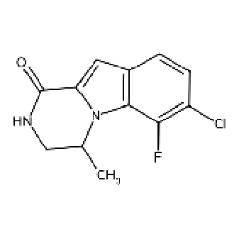 CC1CNC(=O)c2cc3ccc(Cl)c(F)c3n21